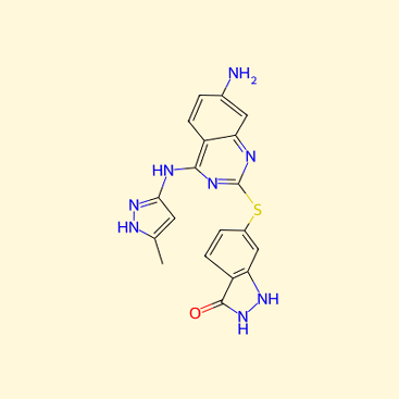 Cc1cc(Nc2nc(Sc3ccc4c(=O)[nH][nH]c4c3)nc3cc(N)ccc23)n[nH]1